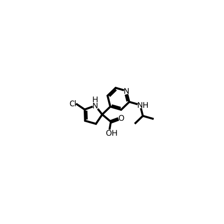 CC(C)Nc1cc(C2(C(=O)O)CC=C(Cl)N2)ccn1